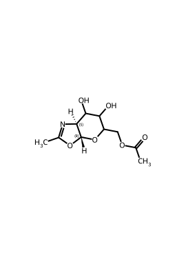 CC(=O)OCC1O[C@@H]2OC(C)=N[C@H]2C(O)C1O